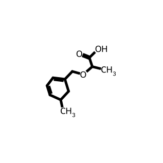 CC1C=CC=C(COC(C)C(=O)O)C1